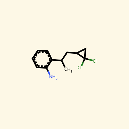 CC(CC1CC1(Cl)Cl)c1ccccc1N